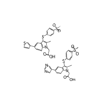 Cc1c(Sc2ccc(S(C)(=O)=O)cc2)c2cc(-c3ccsc3)ccc2n1CC(=O)O.Cc1c(Sc2ccc(S(C)(=O)=O)cc2)c2cc(-c3cncnc3)ccc2n1CC(=O)O